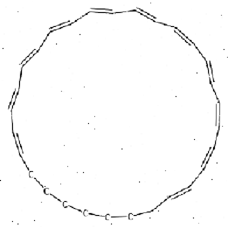 [C]1=C/C=C\C=C/C=C/C=C\C=C\C=C\C=C\C=C\C=C\C=C/CCCCCCC/1